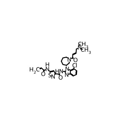 C=CC(=O)Nc1cc(C(=O)Nc2nc3cccc(Cl)c3n2[C@@H]2CCCCN(C(=O)/C=C/CN(C)C)C2)ns1